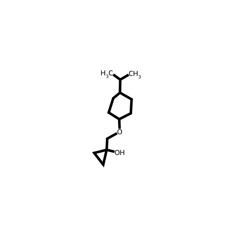 CC(C)C1CCC(OCC2(O)CC2)CC1